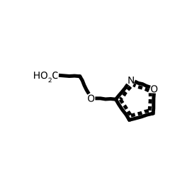 O=C(O)COc1ccon1